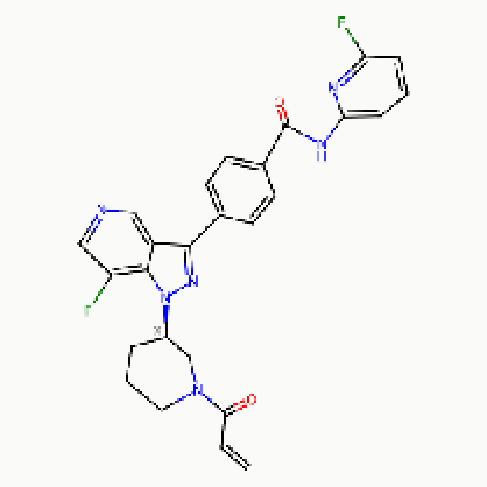 C=CC(=O)N1CCC[C@@H](n2nc(-c3ccc(C(=O)Nc4cccc(F)n4)cc3)c3cncc(F)c32)C1